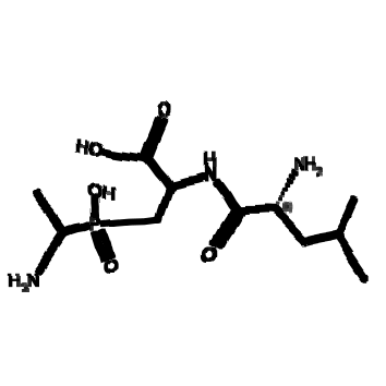 CC(C)C[C@@H](N)C(=O)NC(CP(=O)(O)C(C)N)C(=O)O